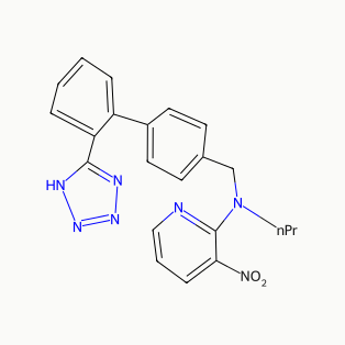 CCCN(Cc1ccc(-c2ccccc2-c2nnn[nH]2)cc1)c1ncccc1[N+](=O)[O-]